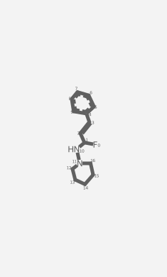 FC(C=Cc1ccccc1)NN1CCCCC1